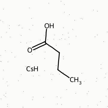 CCCC(=O)O.[CsH]